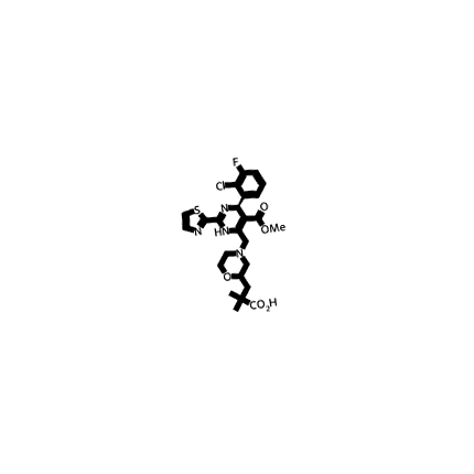 COC(=O)C1=C(CN2CCOC(CC(C)(C)C(=O)O)C2)NC(c2nccs2)=N[C@H]1c1cccc(F)c1Cl